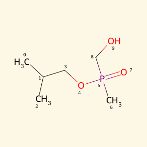 CC(C)COP(C)(=O)CO